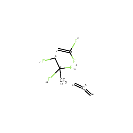 C=C(F)F.C=C=C.FCC(F)(F)C(F)(F)F